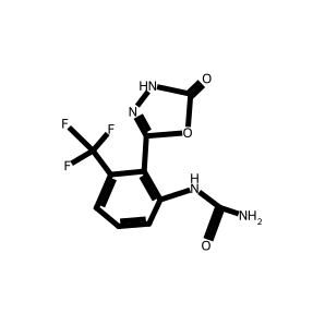 NC(=O)Nc1cccc(C(F)(F)F)c1-c1n[nH]c(=O)o1